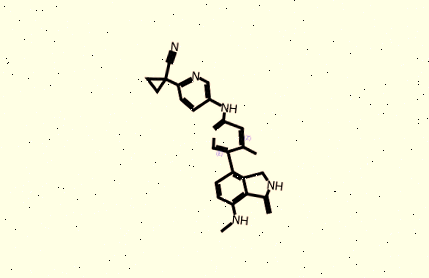 C=C(/C=C(C)\C(=C/C)c1ccc(NC)c2c1CNC2=C)Nc1ccc(C2(C#N)CC2)nc1